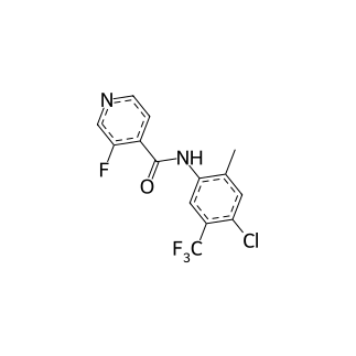 Cc1cc(Cl)c(C(F)(F)F)cc1NC(=O)c1ccncc1F